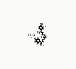 CCN(CCOS(=O)(=O)OCCN(CC)c1ccc(N)cc1)c1ccc(N)cc1.O